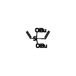 C=C[Si](C=C)(OCC(C)C)OCC(C)C